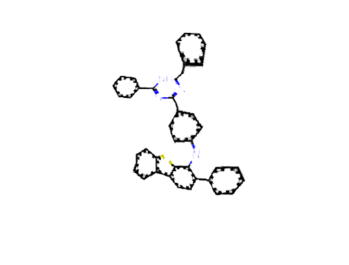 N/C(=N\C(=N/Cc1ccccc1)c1ccc(Nc2c(-c3ccccc3)ccc3c2sc2ccccc23)cc1)c1ccccc1